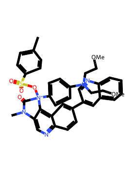 COCCN(CCOC)c1ccc([N+]2(OS(=O)(=O)c3ccc(C)cc3)C(=O)N(C)c3cnc4ccc(-c5cnc6ccccc6c5)cc4c32)cc1